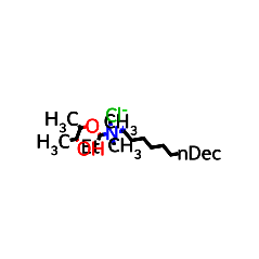 CCCCCCCCCCCCCCCC[N+](C)(C)C(CC)OC(C)C(C)O.[Cl-]